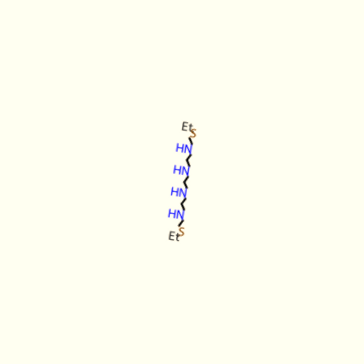 CCSCCNCCCNCCCNCCCNCCSCC